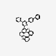 c1ccc(-c2ccc(-c3cc(-c4ccccc4)nc(-c4cc5ccc6oc7cccc8c7c6c5c5c4oc4cccc-8c45)n3)cc2)cc1